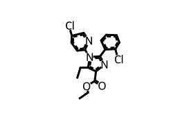 CCOC(=O)c1nc(-c2ccccc2Cl)n(-c2ccc(Cl)cn2)c1CC